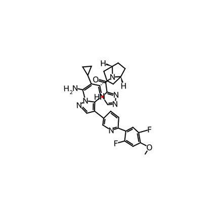 COc1cc(F)c(-c2ccc(-c3cnn4c(N)c(C5CC5)c([C@H]5C[C@H]6CC[C@@H](C5)N6C(=O)c5nnc[nH]5)nc34)cn2)cc1F